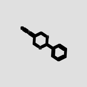 O=C=C1COC(c2ccccc2)OC1